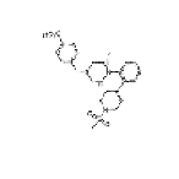 C[C@@H]1CN(Cc2ccc(C(=O)O)cc2)C[C@H](C)N1c1ccccc1C1=CCN(S(C)(=O)=O)CC1